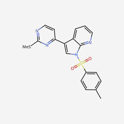 CSc1nccc(-c2cn(S(=O)(=O)c3ccc(C)cc3)c3ncccc23)n1